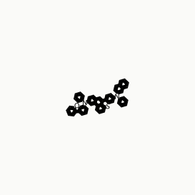 c1ccc(N(c2ccc3c(c2)Sc2cccc4c2c-3cc2ccc(N(c3ccccc3)c3cccc5c3oc3ccccc35)cc24)c2ccc3ccccc3c2)cc1